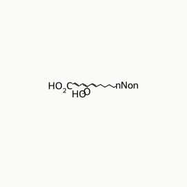 CCCCCCCCCCCCC/C=C/C(=C/C=C/C(=O)O)OO